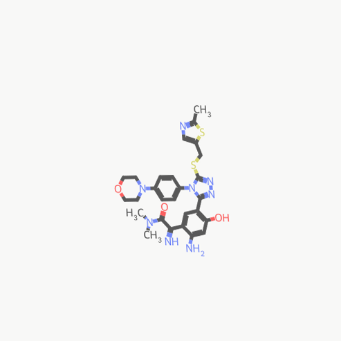 Cc1ncc(CSc2nnc(-c3cc(C(=N)C(=O)N(C)C)c(N)cc3O)n2-c2ccc(N3CCOCC3)cc2)s1